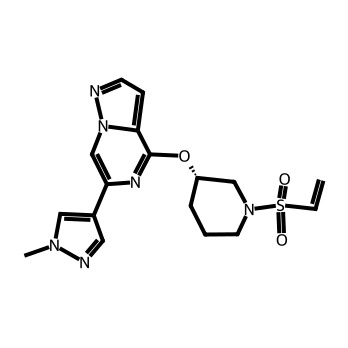 C=CS(=O)(=O)N1CCC[C@H](Oc2nc(-c3cnn(C)c3)cn3nccc23)C1